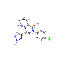 Cn1cc(-c2cn(-c3ccc(Cl)cc3)c(=O)c3cccnc23)cn1